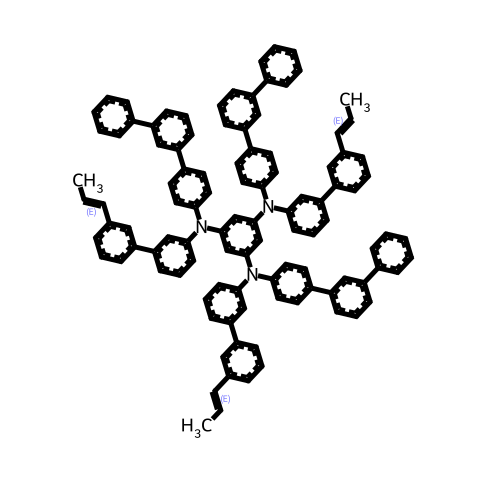 C/C=C/c1cccc(-c2cccc(N(c3ccc(-c4cccc(-c5ccccc5)c4)cc3)c3cc(N(c4ccc(-c5cccc(-c6ccccc6)c5)cc4)c4cccc(-c5cccc(/C=C/C)c5)c4)cc(N(c4ccc(-c5cccc(-c6ccccc6)c5)cc4)c4cccc(-c5cccc(/C=C/C)c5)c4)c3)c2)c1